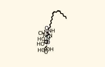 CCCCC/C=C\C/C=C\CCCCCCCC(=O)Nc1nc(Cl)nc2c1ncn2[C@@H]1O[C@H](CCP(=O)(O)O)C(O)[C@@H]1O